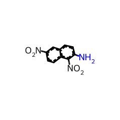 Nc1ccc2cc([N+](=O)[O-])ccc2c1[N+](=O)[O-]